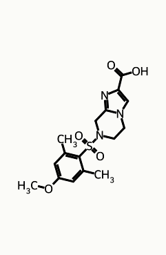 COc1cc(C)c(S(=O)(=O)N2CCn3cc(C(=O)O)nc3C2)c(C)c1